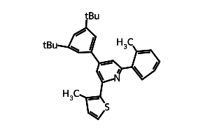 Cc1ccccc1-c1cc(-c2cc(C(C)(C)C)cc(C(C)(C)C)c2)cc(-c2sccc2C)n1